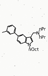 CCCCCCCCn1cc(CN(CCC)CCC)c2cc(-c3cccc(C)c3)ccc21